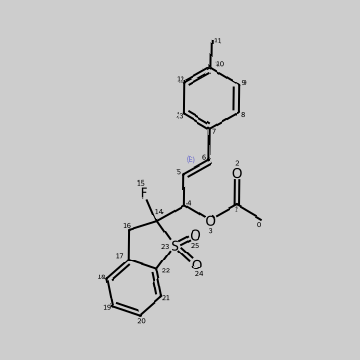 CC(=O)OC(/C=C/c1ccc(C)cc1)C1(F)Cc2ccccc2S1(=O)=O